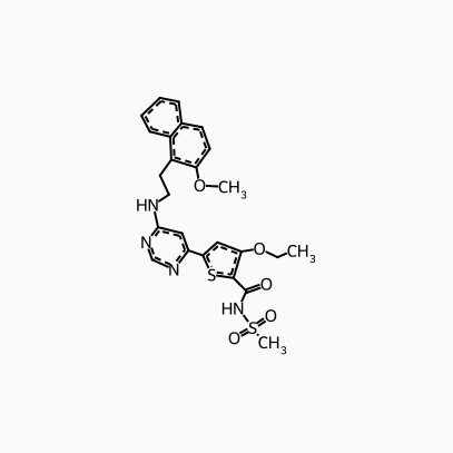 CCOc1cc(-c2cc(NCCc3c(OC)ccc4ccccc34)ncn2)sc1C(=O)NS(C)(=O)=O